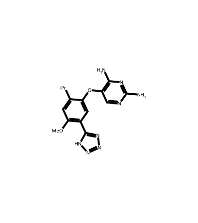 COc1cc(C(C)C)c(Oc2cnc(N)nc2N)cc1-c1nnn[nH]1